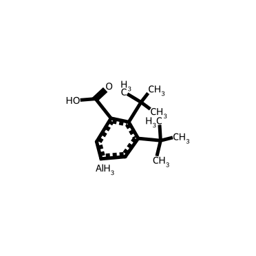 CC(C)(C)c1cccc(C(=O)O)c1C(C)(C)C.[AlH3]